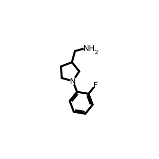 NCC1CCN(c2ccccc2F)C1